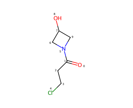 O=C(CCCl)N1CC(O)C1